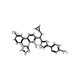 Nc1ccc(-c2c[nH]c(C(CC3CC3)c3ccc(-c4cc(Cl)ccc4-n4cnnn4)c[n+]3[O-])n2)cn1